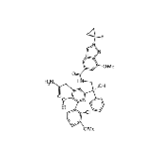 CCOc1c(CC(N)=O)cc([C@@](O)(CNC(=O)c2cc(OC)c3nn(C4(F)CC4)cc3c2)c2ccccc2)nc1-c1cccc(OC)c1Cl